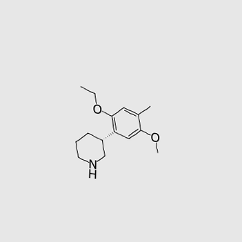 CCOc1cc(C)c(OC)cc1[C@H]1CCCNC1